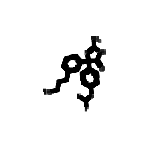 NC1=NC(c2ccc(OC(F)F)cc2)(c2cccc(CCCO)c2)C(=O)N1